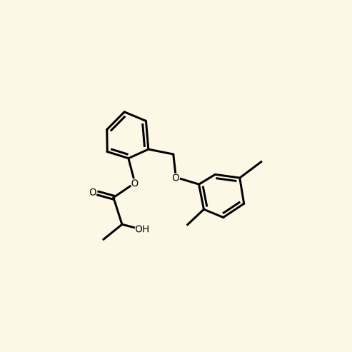 Cc1ccc(C)c(OCc2ccccc2OC(=O)C(C)O)c1